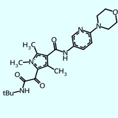 Cc1c(C(=O)Nc2ccc(N3CCOCC3)nc2)c(C)n(C)c1C(=O)C(=O)NC(C)(C)C